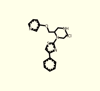 Cl.c1ccc(-c2csc(N3CCNCC3COc3cccnc3)n2)cc1